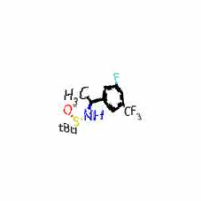 C[C@H](N[S@@+]([O-])C(C)(C)C)c1cc(F)cc(C(F)(F)F)c1